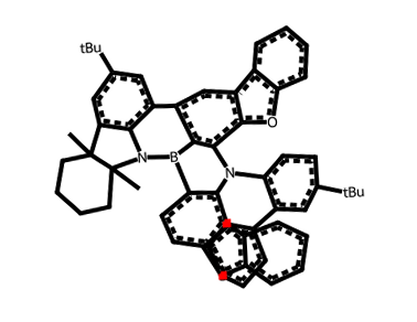 CC(C)(C)c1ccc(N2c3c4c(cc5c3oc3ccccc35)-c3cc(C(C)(C)C)cc5c3N(B4c3ccc4sc6ccccc6c4c32)C2(C)CCCCC52C)c(-c2ccccc2)c1